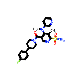 Cc1c(S(N)(=O)=O)ncc(C(=O)N2CCC(c3ccc(F)cc3)CC2)c1N(C)c1cccnc1